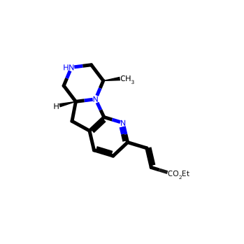 CCOC(=O)C=Cc1ccc2c(n1)N1[C@@H](CNC[C@H]1C)C2